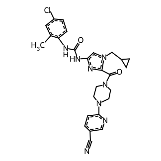 Cc1cc(Cl)ccc1NC(=O)Nc1cn(CC2CC2)c(C(=O)N2CCN(c3ccc(C#N)cn3)CC2)n1